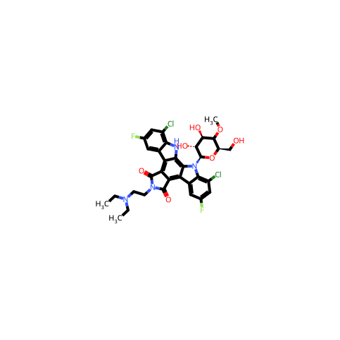 CCN(CC)CCN1C(=O)c2c(c3c4cc(F)cc(Cl)c4n([C@@H]4O[C@H](CO)C(OC)[C@H](O)[C@H]4O)c3c3[nH]c4c(Cl)cc(F)cc4c23)C1=O